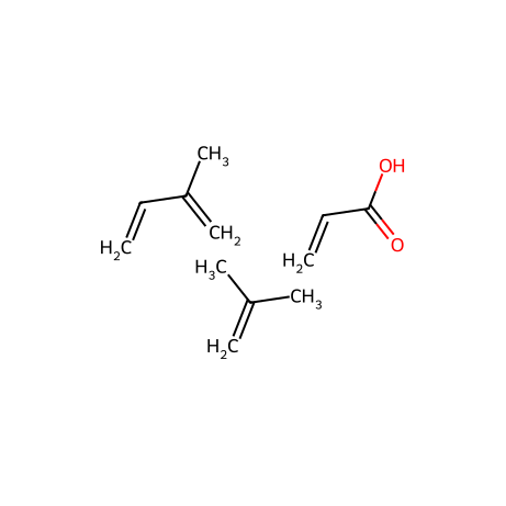 C=C(C)C.C=CC(=C)C.C=CC(=O)O